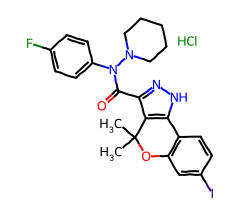 CC1(C)Oc2cc(I)ccc2-c2[nH]nc(C(=O)N(c3ccc(F)cc3)N3CCCCC3)c21.Cl